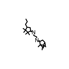 CCCC1C/C(=N/CC/N=C2\CC3CC(C)C2(C)C3(C)C)C(C)(C)C1(C)C